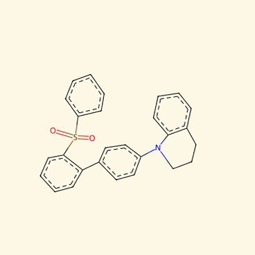 O=S(=O)(c1ccccc1)c1ccccc1-c1ccc(N2CCCc3ccccc32)cc1